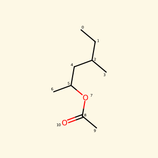 CCC(C)CC(C)OC(C)=O